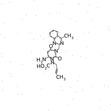 CC#CCN(C(=O)O)n1c(N)cc(=O)n(Cc2nc(C)c3ccccc3n2)c1=O